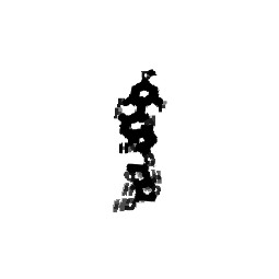 COc1cc(F)c(-c2nc3cc(O[C@@H]4CO[C@H]5[C@@H]4OC[C@H]5O)[nH]c3cc2F)c(F)c1